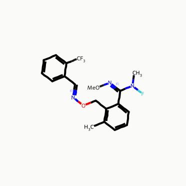 CO/N=C(\c1cccc(C)c1CO/N=C/c1ccccc1C(F)(F)F)N(C)F